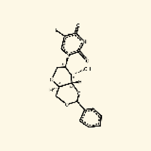 O=c1[nH]c(=O)n([C@@H]2CO[C@@H]3COC(c4ccccc4)O[C@H]3[C@H]2O)cc1I